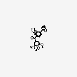 COc1cc(C(=O)c2ccc(-c3ccco3)cc2N)cc(OC)c1OC